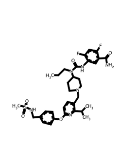 CCCN(C(=O)Nc1cc(C(N)=O)c(F)cc1F)C1CCN(Cc2ccc(Oc3ccc(CNS(C)(=O)=O)cc3)nc2C(C)C)CC1